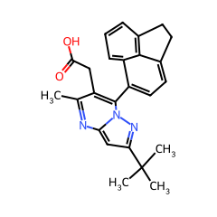 Cc1nc2cc(C(C)(C)C)nn2c(-c2ccc3c4c(cccc24)CC3)c1CC(=O)O